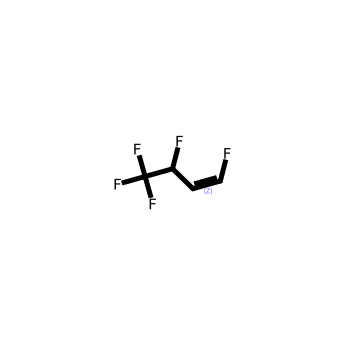 F/C=C\C(F)C(F)(F)F